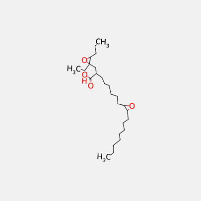 CCCCCCCCC1OC1CCCCCCC(CC1(CC)OC1CCC)C(=O)O